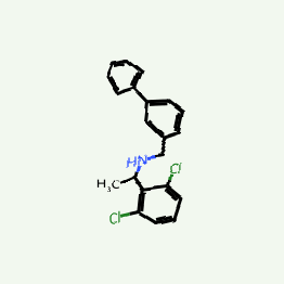 CC(NCc1cccc(-c2ccccc2)c1)c1c(Cl)cccc1Cl